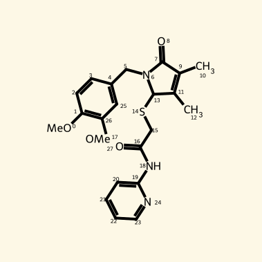 COc1ccc(CN2C(=O)C(C)=C(C)C2SCC(=O)Nc2ccccn2)cc1OC